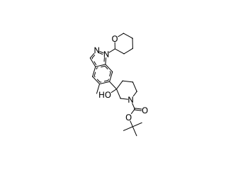 Cc1cc2cnn(C3CCCCO3)c2cc1C1(O)CCCN(C(=O)OC(C)(C)C)C1